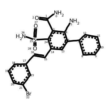 NC(=O)c1c(N)c(-c2ccccc2)cc(C=Cc2cccc(Br)c2)c1S(N)(=O)=O